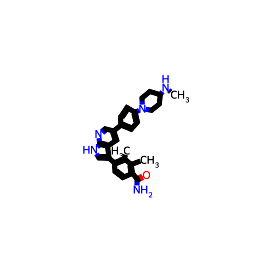 CNC1CCN(c2ccc(-c3cnc4[nH]cc(-c5ccc(C(N)=O)c(C)c5C)c4c3)cc2)CC1